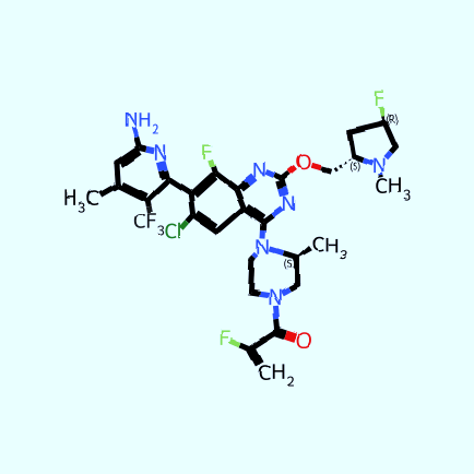 C=C(F)C(=O)N1CCN(c2nc(OC[C@@H]3C[C@@H](F)CN3C)nc3c(F)c(-c4nc(N)cc(C)c4C(F)(F)F)c(Cl)cc23)[C@@H](C)C1